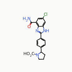 NC(=O)c1cc(Cl)cc2[nH]c(-c3ccc(C4CCCN4C(=O)O)cc3)nc12